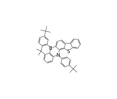 CC(C)(C)c1ccc(N2c3cccc4c3B(c3cc(C(C)(C)C)ccc3C4(C)C)c3ccc4c(sc5ccccc54)c32)cc1